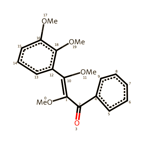 COC(C(=O)c1ccccc1)=C(OC)c1cccc(OC)c1OC